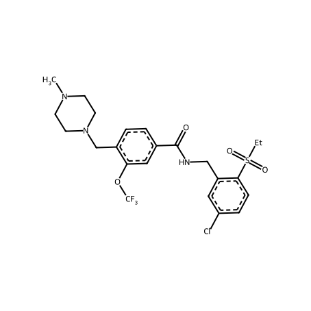 CCS(=O)(=O)c1ccc(Cl)cc1CNC(=O)c1ccc(CN2CCN(C)CC2)c(OC(F)(F)F)c1